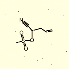 C=CCC(C#N)OS(C)(=O)=O